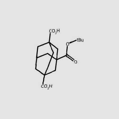 CC(C)(C)OC(=O)C12CC3CC(C(=O)O)(CC(C(=O)O)(C3)C1)C2